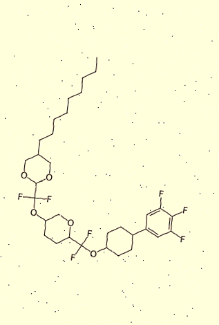 CCCCCCCCCC1COC(C(F)(F)OC2CCC(C(F)(F)OC3CCC(c4cc(F)c(F)c(F)c4)CC3)OC2)OC1